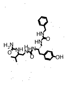 CC(C)C(CNC(=O)N[C@H](CNC(=O)NCc1ccccc1)Cc1ccc(O)cc1)NC(N)=O